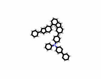 C1CCC(C2CCC(N(C3CCCCC3)C3CCC(C4CCC5CC6CCCC(C7CCC8CC(C9CCCCC9)CC8C7)C6C5C4)CC3)CC2)CC1